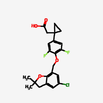 CC1(C)Cc2cc(Cl)cc(COc3c(F)cc(C4(CC(=O)O)CC4)cc3F)c2O1